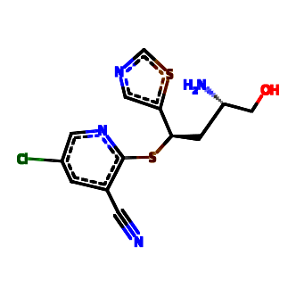 N#Cc1cc(Cl)cnc1S[C@H](C[C@H](N)CO)c1cncs1